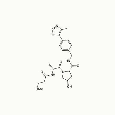 COCCC(=O)N[C@@H](C)C(=O)N1C[C@H](O)C[C@H]1C(=O)NCc1ccc(-c2scnc2C)cc1